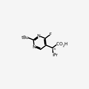 CC(C)[C@H](C(=O)O)c1cnc(C(C)(C)C)nc1F